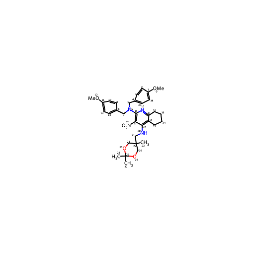 COc1ccc(CN(Cc2ccc(OC)cc2)c2nc3c(c(NCC4(C)COC(C)(C)OC4)c2[N+](=O)[O-])CCCC3)cc1